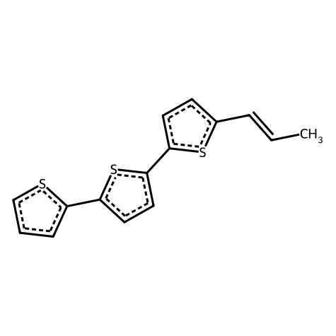 CC=Cc1ccc(-c2ccc(-c3cccs3)s2)s1